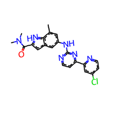 Cc1cc(Nc2nccc(-c3cc(Cl)ccn3)n2)cc2cc(C(=O)N(C)C)[nH]c12